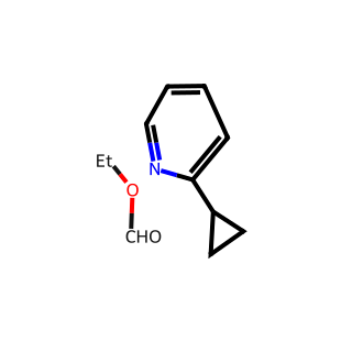 CCOC=O.c1ccc(C2CC2)nc1